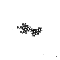 CCc1cc(C)cc(CC)c1C1=C(O)CC(CC[S+]([O-])c2ccccc2NC(=O)c2ccccc2)CC1=O